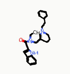 CCN(CC1CCCN(CCc2ccccc2)C1)C(=O)c1cc2ccccc2[nH]1